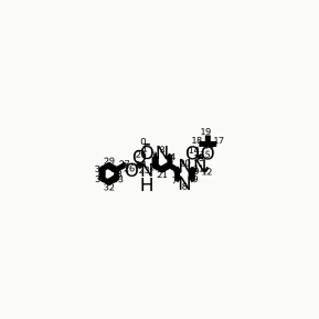 COc1ncc(-c2cncc(N(C)C(=O)OC(C)(C)C)n2)cc1NC(=O)OCc1ccccc1